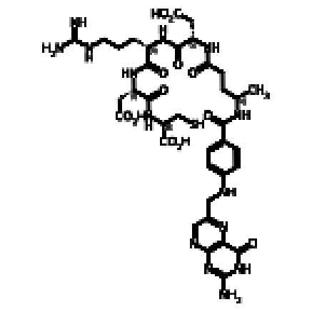 C[C@H](CCC(=O)N[C@@H](CC(=O)O)C(=O)N[C@@H](CCCNC(=N)N)C(=O)N[C@@H](CC(=O)O)C(=O)N[C@@H](CS)C(=O)O)NC(=O)c1ccc(NCc2cnc3nc(N)[nH]c(=O)c3n2)cc1